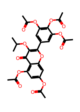 CC(=O)Oc1cc(OC(C)=O)c2c(=O)c(OC(C)C)c(-c3cc(OC(C)=O)c(OC(C)=O)c(OC(C)=O)c3)oc2c1